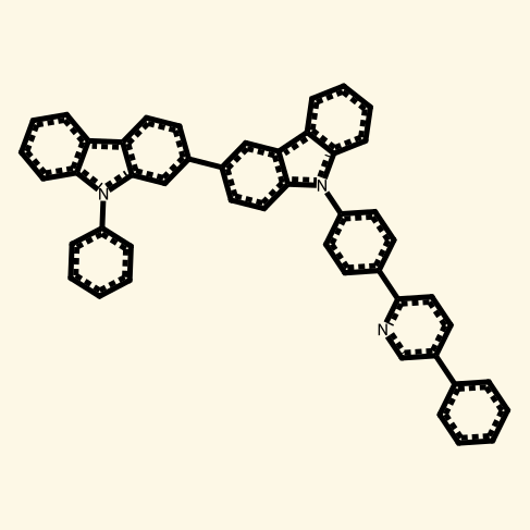 c1ccc(-c2ccc(-c3ccc(-n4c5ccccc5c5cc(-c6ccc7c8ccccc8n(-c8ccccc8)c7c6)ccc54)cc3)nc2)cc1